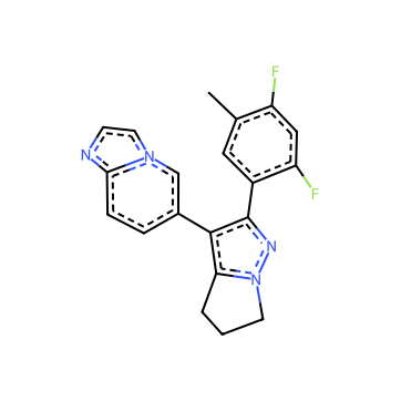 Cc1cc(-c2nn3c(c2-c2ccc4nccn4c2)CCC3)c(F)cc1F